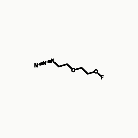 [N-]=[N+]=NCCOCCOF